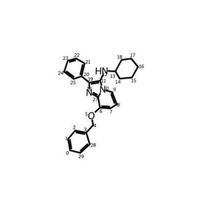 c1ccc(COc2cccn3c(NC4CCCCC4)c(-c4ccccc4)nc23)cc1